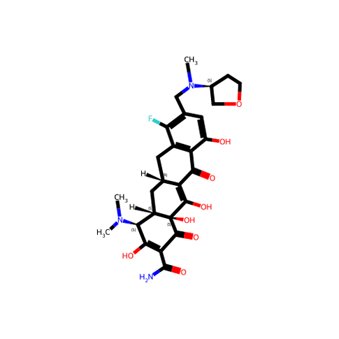 CN(C)[C@@H]1C(O)=C(C(N)=O)C(=O)[C@@]2(O)C(O)=C3C(=O)c4c(O)cc(CN(C)[C@H]5CCOC5)c(F)c4C[C@H]3C[C@@H]12